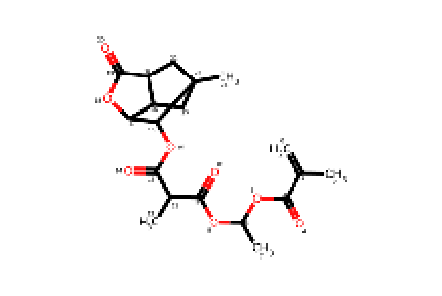 C=C(C)C(=O)OC(C)OC(=O)C(C)C(=O)OC1C2OC(=O)C3CC1(C)CC32